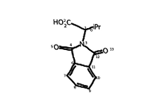 CC(C)C(C(=O)O)N1C(=O)c2ccccc2C1=O